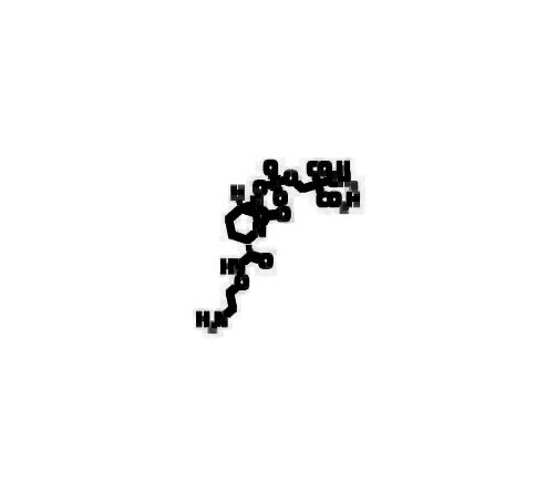 CC(COS(=O)(=O)ON1C(=O)N2C[C@H]1CC[C@H]2C(=O)NOCCN)(C(=O)O)C(=O)O